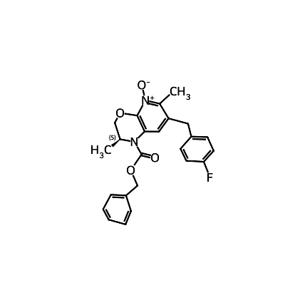 Cc1c(Cc2ccc(F)cc2)cc2c([n+]1[O-])OC[C@H](C)N2C(=O)OCc1ccccc1